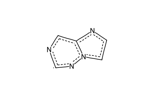 [c]1ncc2nccn2n1